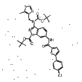 Cc1scnc1CN(C(=O)OC(C)(C)C)c1nn(C(=O)OC(C)(C)C)c2cc(NC(=O)c3ccc(-c4ccc(Cl)cc4)s3)ccc12